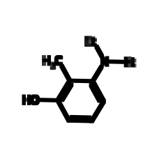 CCN(CC)c1cccc(O)c1C